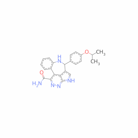 CC(C)Oc1ccc(C2Nc3ccccc3-c3c(C(N)=O)nnc4[nH]cc2c34)cc1